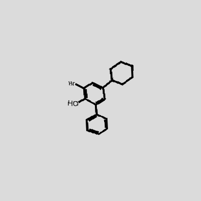 Oc1c(Br)cc(C2CCCCC2)cc1-c1ccccc1